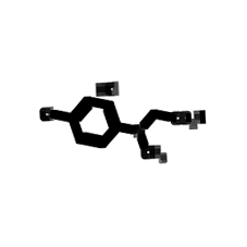 CN(CC(=O)O)c1ccc(Cl)cc1.Cl